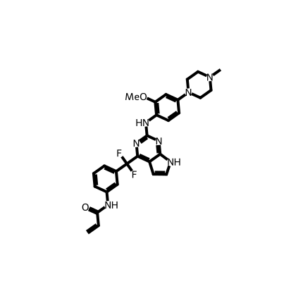 C=CC(=O)Nc1cccc(C(F)(F)c2nc(Nc3ccc(N4CCN(C)CC4)cc3OC)nc3[nH]ccc23)c1